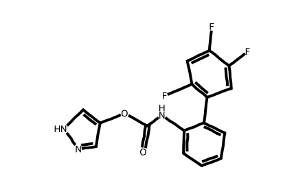 O=C(Nc1ccccc1-c1cc(F)c(F)cc1F)Oc1cn[nH]c1